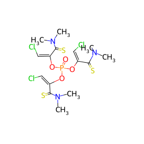 CN(C)C(=S)/C(=C\Cl)OP(=O)(O/C(=C/Cl)C(=S)N(C)C)O/C(=C/Cl)C(=S)N(C)C